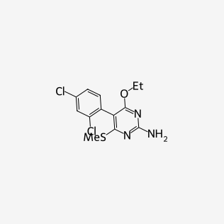 CCOc1nc(N)nc(SC)c1-c1ccc(Cl)cc1Cl